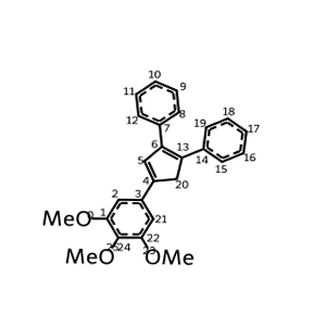 COc1cc(C2=CC(c3ccccc3)=C(c3ccccc3)C2)cc(OC)c1OC